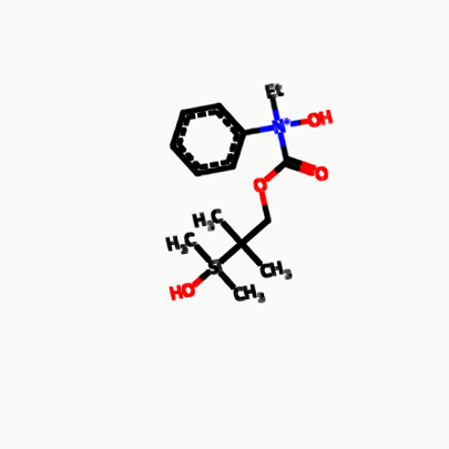 CC[N+](O)(C(=O)OCC(C)(C)[Si](C)(C)O)c1ccccc1